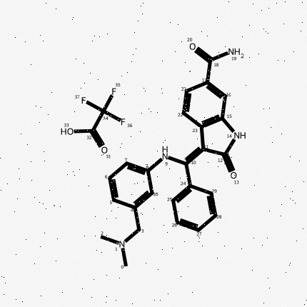 CN(C)Cc1cccc(NC(=C2C(=O)Nc3cc(C(N)=O)ccc32)c2ccccc2)c1.O=C(O)C(F)(F)F